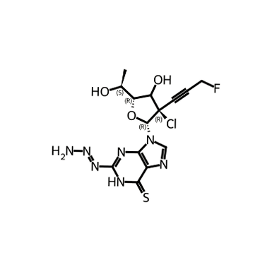 C[C@H](O)[C@H]1O[C@@H](n2cnc3c(=S)[nH]c(N=NN)nc32)[C@@](Cl)(C#CCF)C1O